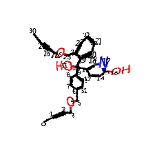 CC#CCOCc1ccc(C(O)(c2ccc(O)nc2)c2ccccc2COCC#CC)cc1